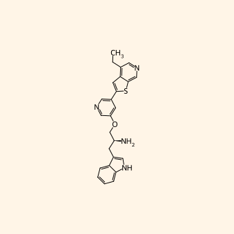 CCc1cncc2sc(-c3cncc(OC[C@@H](N)Cc4c[nH]c5ccccc45)c3)cc12